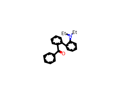 CCN(CC)c1ccccc1-c1ccccc1C(=O)c1ccccc1